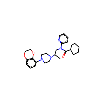 CC(CN(C(=O)C1CCCCC1)c1ccccn1)N1CCN(c2cccc3c2OCCO3)CC1